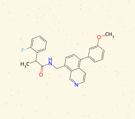 COc1cccc(-c2ccc(CNC(=O)C(C)c3ccccc3F)c3cnccc23)c1